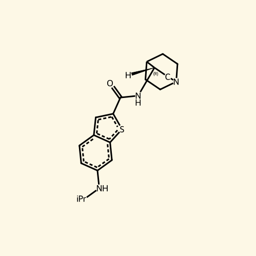 CC(C)Nc1ccc2cc(C(=O)N[C@H]3CN4CCC3CC4)sc2c1